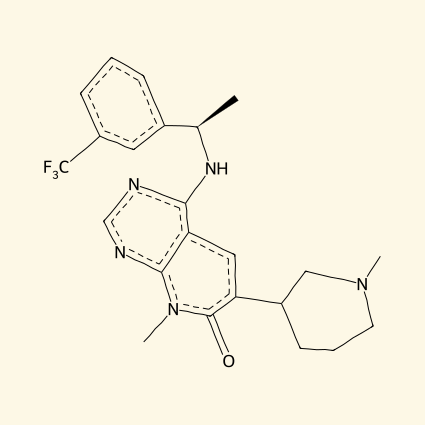 C[C@@H](Nc1ncnc2c1cc(C1CCCN(C)C1)c(=O)n2C)c1cccc(C(F)(F)F)c1